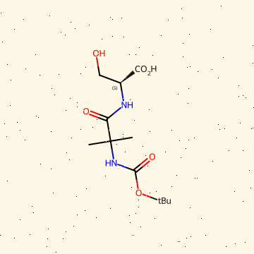 CC(C)(C)OC(=O)NC(C)(C)C(=O)N[C@@H](CO)C(=O)O